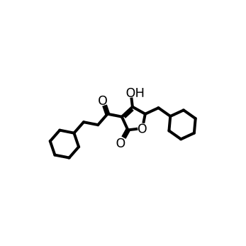 O=C(CCC1CCCCC1)C1=C(O)C(CC2CCCCC2)OC1=O